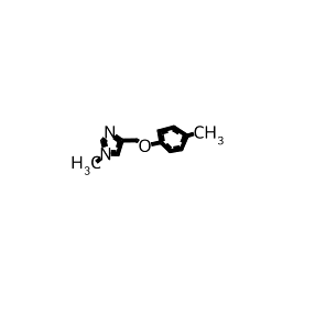 Cc1ccc(OCc2cn(C)cn2)cc1